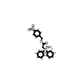 N[PH](CC(=O)OCc1ccc([N+](=O)[O-])cc1)(c1ccccc1)c1ccccc1